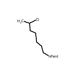 CCCCCCCCCCC(C)Cl